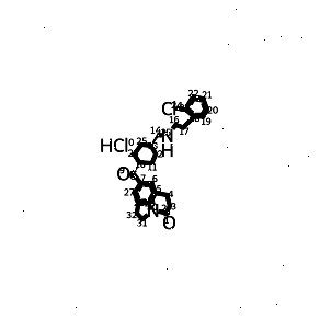 Cl.O=C1CCc2cc(C(=O)[C@H]3CC[C@H](CNCCc4ccccc4Cl)CC3)cc3c2N1CC3